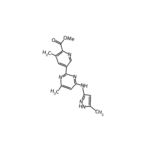 COC(=O)c1ncc(-c2nc(C)cc(Nc3cc(C)[nH]n3)n2)cc1C